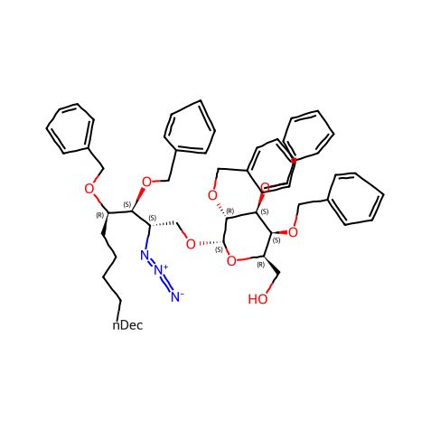 CCCCCCCCCCCCCC[C@@H](OCc1ccccc1)[C@@H](OCc1ccccc1)[C@H](CO[C@H]1O[C@H](CO)[C@H](OCc2ccccc2)[C@H](OCc2ccccc2)[C@H]1OCc1ccccc1)N=[N+]=[N-]